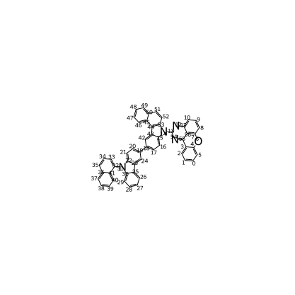 c1ccc2c(c1)Oc1cccc3nc(-n4c5ccc(-c6ccc7c(c6)c6ccccc6n7-c6cccc7ccccc67)cc5c5c6ccccc6ccc54)nc-2c13